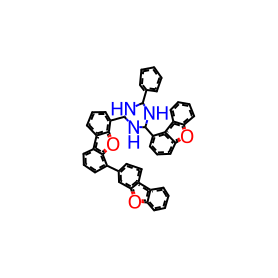 c1ccc(C2NC(c3cccc4c3oc3c(-c5ccc6c(c5)oc5ccccc56)cccc34)NC(c3cccc4oc5ccccc5c34)N2)cc1